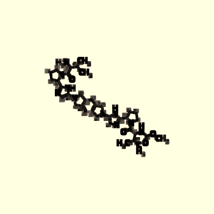 COC(=O)NC(C(=O)N1CCCC1c1ncc(N2Cc3cc4c(cc3C2)CN(c2cnc(C3CCCN3C(=O)C(N)C(C)C)[nH]2)C4)[nH]1)C(C)C